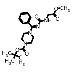 COC(=O)CNC(=O)/N=C(\c1ccccc1)N1CCN(C(=O)OC(C)(C)C)CC1